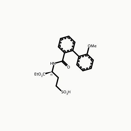 CCOC(=O)[C@H](CCS(=O)(=O)O)NC(=O)c1ccccc1-c1ccccc1OC